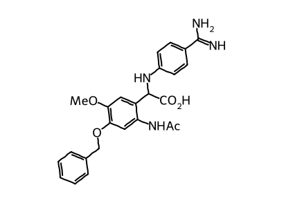 COc1cc(C(Nc2ccc(C(=N)N)cc2)C(=O)O)c(NC(C)=O)cc1OCc1ccccc1